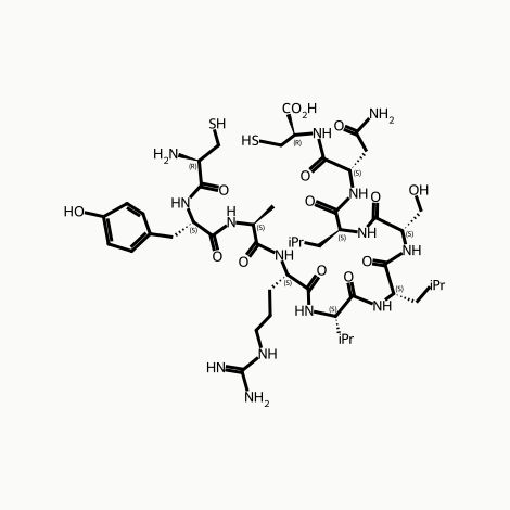 CC(C)C[C@H](NC(=O)[C@H](CO)NC(=O)[C@H](CC(C)C)NC(=O)[C@@H](NC(=O)[C@H](CCCNC(=N)N)NC(=O)[C@H](C)NC(=O)[C@H](Cc1ccc(O)cc1)NC(=O)[C@@H](N)CS)C(C)C)C(=O)N[C@@H](CC(N)=O)C(=O)N[C@@H](CS)C(=O)O